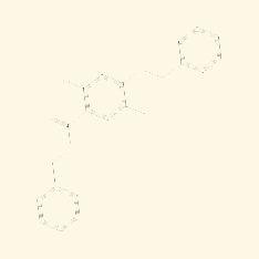 Cc1cc(OCc2ccccc2)c(Br)cc1C(=O)OCc1ccccc1